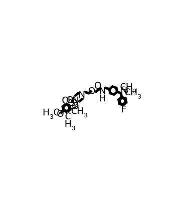 COc1cc(C)c(S(=O)(=O)N2CCN(CCOCC(=O)NCC3CCC(C(c4ccc(F)cc4)N(C)C)CC3)CC2)c(C)c1C